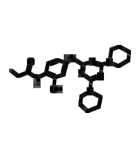 CCC(=O)Nc1ccc(Nc2nc(N3CCCCC3)nc(N3CCCCC3)n2)cc1O